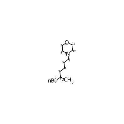 CCCCC(C)CCCCN1CCOCC1